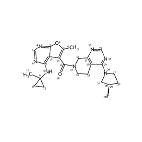 Cc1oc2ncnc(NC3(C)CC3)c2c1C(=O)N1CCc2c(ncnc2N2CC[C@@H](F)C2)C1